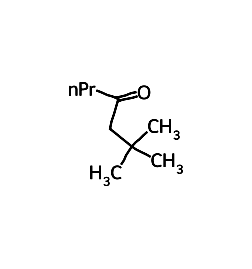 [CH2]CCC(=O)CC(C)(C)C